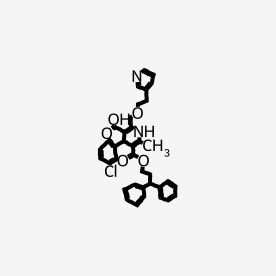 CC1=C(C(=O)OCCC(c2ccccc2)c2ccccc2)C(c2cccc(Cl)c2)C(C(=O)O)=C(COCCc2cccnc2)N1